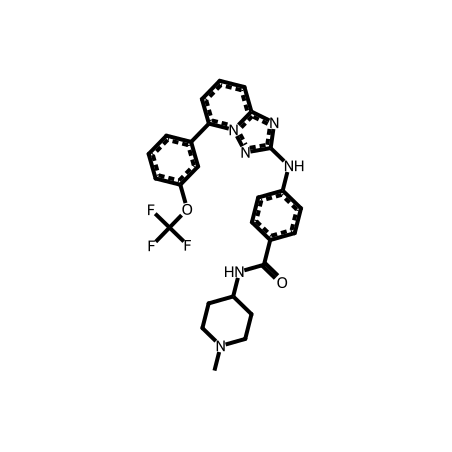 CN1CCC(NC(=O)c2ccc(Nc3nc4cccc(-c5cccc(OC(F)(F)F)c5)n4n3)cc2)CC1